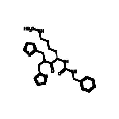 O=C(O)NCCCC[C@H](NC(=O)NCc1ccccc1)C(=O)N(Cc1cccs1)Cc1cccs1